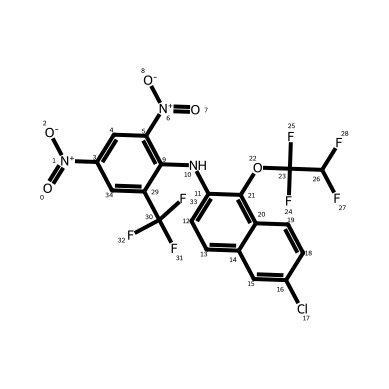 O=[N+]([O-])c1cc([N+](=O)[O-])c(Nc2ccc3cc(Cl)ccc3c2OC(F)(F)C(F)F)c(C(F)(F)F)c1